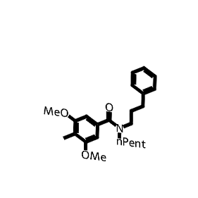 C[CH]CCCN(CCCc1ccccc1)C(=O)c1cc(OC)c(C)c(OC)c1